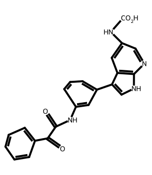 O=C(O)Nc1cnc2[nH]cc(-c3cccc(NC(=O)C(=O)c4ccccc4)c3)c2c1